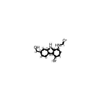 O=CNc1ccc(Br)c2c1[nH]c1cc(CO)ccc12